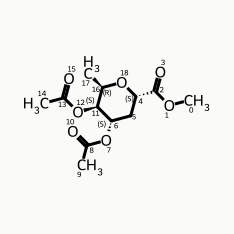 COC(=O)[C@@H]1C[C@H](OC(C)=O)[C@@H](OC(C)=O)[C@@H](C)O1